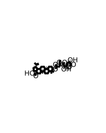 C=C(C)[C@@H]1CC[C@]2(C(=O)O)CC[C@]3(C)C(CCC4[C@@]5(C)CC[C@H](OC(=O)CN(OC)C6OC7[C@H](O)C(=O)O[C@@H]7[C@H]6O)C(C)(C)C5CC[C@]43C)C12